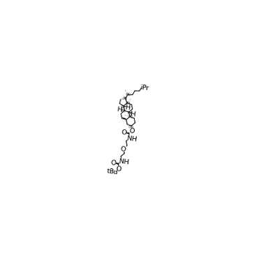 CC(C)CCC[C@@H](C)[C@H]1CC[C@H]2[C@@H]3CC=C4C[C@@H](OC(=O)NCCOCCNC(=O)OC(C)(C)C)CC[C@]4(C)[C@H]3CC[C@]12C